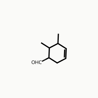 CC1C=CCC(C=O)C1C